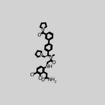 CN(C(=O)CNc1ccc(Cl)c(Cl)c1CC(N)=O)[C@@H](CN1CCCC1)c1ccc(-c2cccc(C(=O)N3CCCC3)c2)cc1